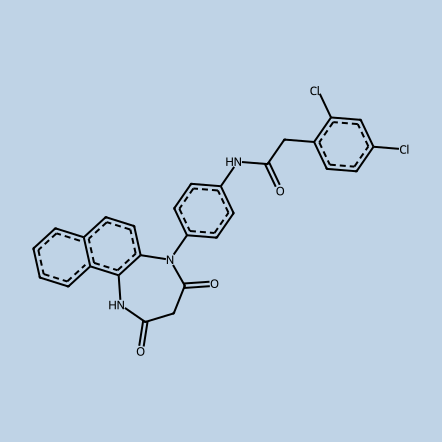 O=C(Cc1ccc(Cl)cc1Cl)Nc1ccc(N2C(=O)CC(=O)Nc3c2ccc2ccccc32)cc1